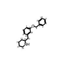 c1ccc(COc2cccc(CC3CCCCN3)c2)cc1